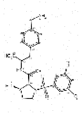 C[C@@H]1CCN(S(=O)(=O)c2cc(Cl)cc(Cl)c2)C1C(=O)NC(Cc1ccc(CN)cc1)C(=O)O